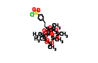 C[Si]12O[Si]3(C)O[Si]4(C)O[Si](C)(O1)O[Si]1(C)O[Si](C)(O2)O[Si](C)(O3)O[Si](CCc2ccc(S(=O)(=O)Cl)cc2)(O4)O1